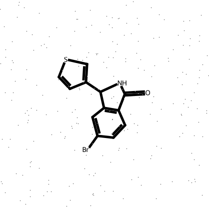 O=C1NC(c2ccsc2)c2cc(Br)ccc21